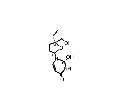 CC[C@@]1(CO)CC[C@H](N2C=CC(=O)N[C@H]2O)O1